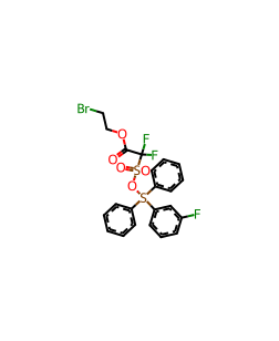 O=C(OCCBr)C(F)(F)S(=O)(=O)OS(c1ccccc1)(c1ccccc1)c1cccc(F)c1